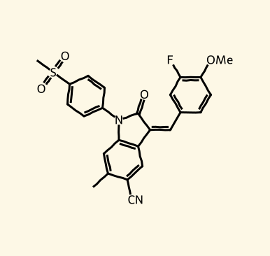 COc1ccc(/C=C2\C(=O)N(c3ccc(S(C)(=O)=O)cc3)c3cc(C)c(C#N)cc32)cc1F